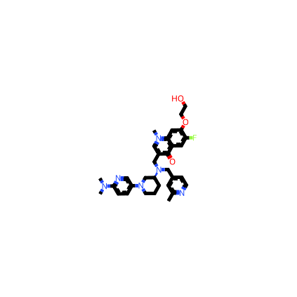 Cc1cc(CN(Cc2cn(C)c3cc(OCCO)c(F)cc3c2=O)[C@H]2CCCN(c3ccc(N(C)C)nc3)C2)ccn1